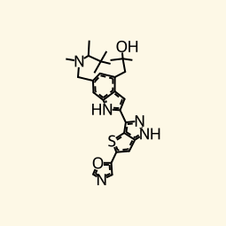 CC(N(C)Cc1cc(CC(C)(C)O)c2cc(-c3n[nH]c4cc(-c5cnco5)sc34)[nH]c2c1)C(C)(C)C